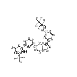 C=CC[C@H](N[S+]([O-])C(C)(C)C)c1cccc(-c2ccc3cnn(-c4cccc(CO[Si](C)(C)C(C)(C)C)n4)c3c2)n1